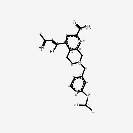 CC(=N)/C=C(\S)c1cc(C(N)=O)nc2c1CCN(Cc1ccnc(OC(F)F)c1)C2